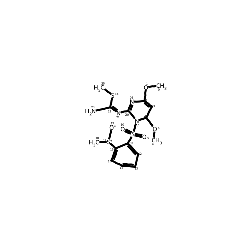 COC1=CC(OC)N(S(=O)(=O)c2ccccc2[S+](C)[O-])C(N=C(N)SC)=N1